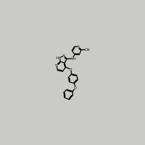 N#Cc1cc(Nc2n[nH]c3nccc(Oc4ccc(Oc5ccccc5)cc4)c23)ccn1